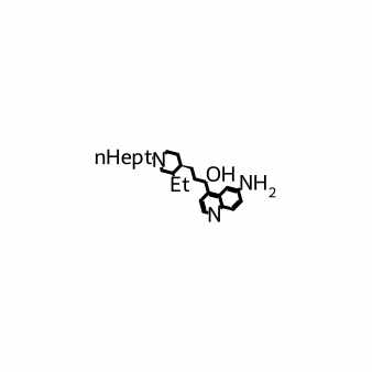 CCCCCCCN1CC[C@@H](CCC(O)c2ccnc3ccc(N)cc23)[C@@H](CC)C1